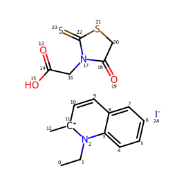 CCn1c2ccccc2cc[c+]1C.O=C(O)CN1C(=O)CSC1=S.[I-]